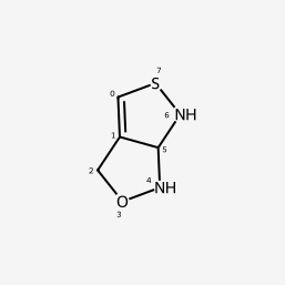 C1=C2CONC2NS1